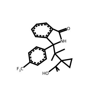 CC(C)(O)C1(C(C)(C)C2(c3ccc(C(F)(F)F)cc3)NC(=O)c3ccccc32)CC1